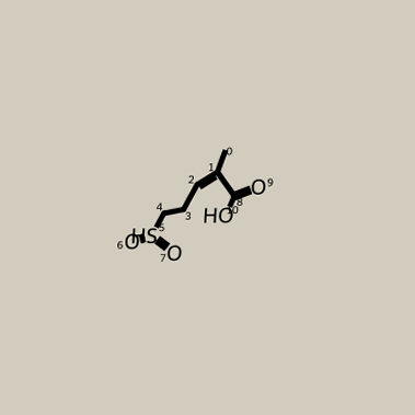 CC(=CCC[SH](=O)=O)C(=O)O